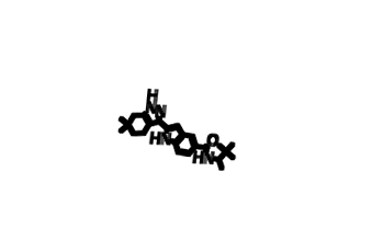 CC(NC(=O)c1ccc2[nH]c(-c3n[nH]c4c3CCC(C)(C)C4)cc2c1)C(C)(C)C